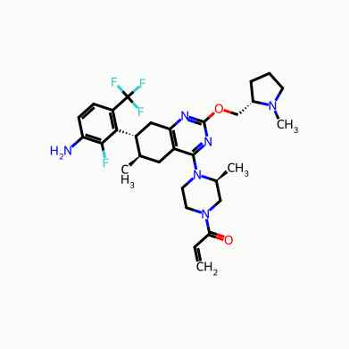 C=CC(=O)N1CCN(c2nc(OC[C@@H]3CCCN3C)nc3c2C[C@@H](C)[C@H](c2c(C(F)(F)F)ccc(N)c2F)C3)[C@@H](C)C1